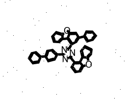 c1ccc(-c2ccc(-c3nc(-c4cccc5oc6ccccc6c45)nc(-c4cc(-c5ccccc5)cc5oc6ccccc6c45)n3)cc2)cc1